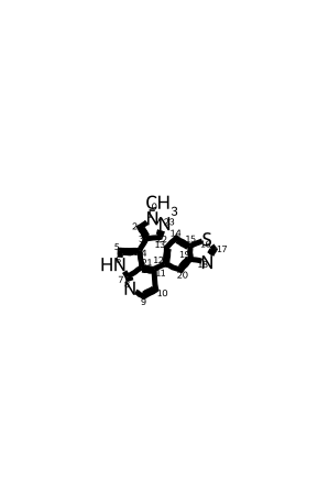 Cn1cc(-c2c[nH]c3nccc(-c4ccc5scnc5c4)c23)cn1